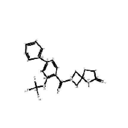 O=C1CCC2(CN(C(=O)c3ccc(-c4ccccc4)cc3OC(F)(F)F)C2)N1